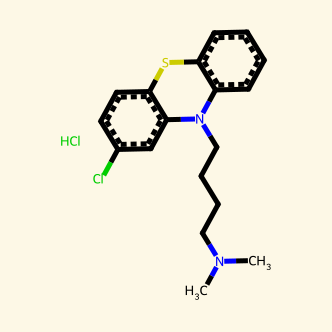 CN(C)CCCCN1c2ccccc2Sc2ccc(Cl)cc21.Cl